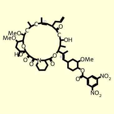 C=CCC1/C=C(/C)CC(C)CC(OC)C2OC(O)(C(=O)C(=O)N3CCCCC3C(=O)OC(/C(C)=C/C3CCC(OC(=O)c4cc([N+](=O)[O-])cc([N+](=O)[O-])c4)C(OC)C3)C(C)C(O)CC1=O)C(C)CC2OC